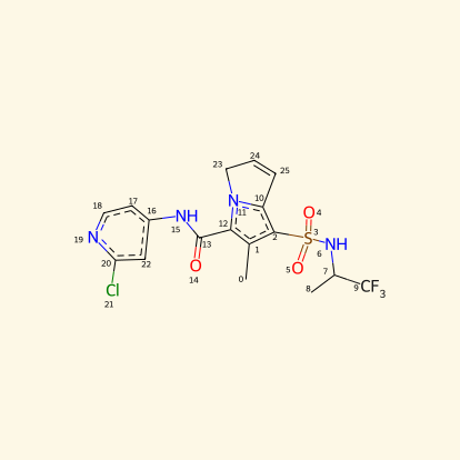 Cc1c(S(=O)(=O)NC(C)C(F)(F)F)c2n(c1C(=O)Nc1ccnc(Cl)c1)CC=C2